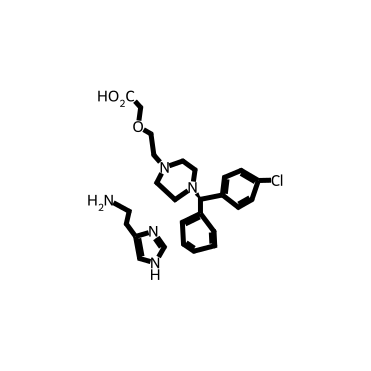 NCCc1c[nH]cn1.O=C(O)COCCN1CCN([C@H](c2ccccc2)c2ccc(Cl)cc2)CC1